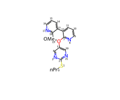 CCCSc1ncc(Oc2ncccc2-c2cccnc2OC)cn1